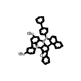 CC(C)(C)c1ccc2c(c1)c1cc(C(C)(C)C)cc3c1n2-c1c2c(cc4c1oc1ccccc14)-c1c(ccc4ccccc14)N(c1ccc(-c4ccccc4)cc1)B23